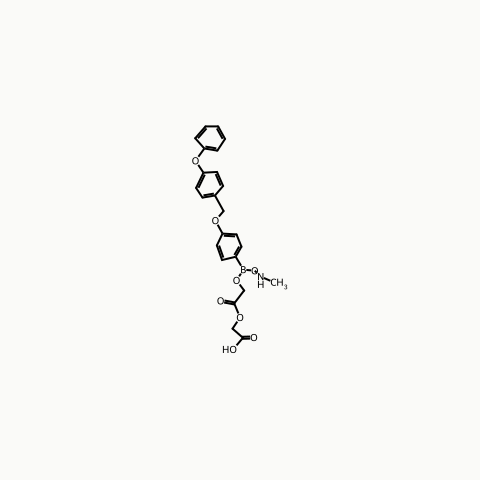 CNOB(OCC(=O)OCC(=O)O)c1ccc(OCc2ccc(Oc3ccccc3)cc2)cc1